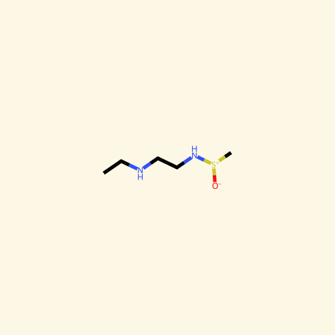 CCNCCN[S+](C)[O-]